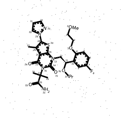 COCCOc1ccc(F)cc1[C@H](Cn1c(=O)n(C(C)(C)C(N)=O)c(=O)c2c(C)c(-n3cccn3)sc21)OC(C)C